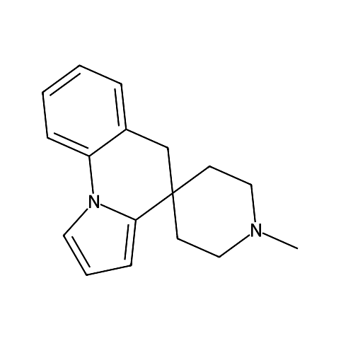 CN1CCC2(CC1)Cc1ccccc1-n1cccc12